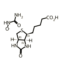 NC(=O)N[O].O=C(O)CCCC[C@@H]1SC[C@@H]2NC(=O)N[C@@H]21